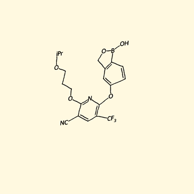 CC(C)OCCCOc1nc(Oc2ccc3c(c2)COB3O)c(C(F)(F)F)cc1C#N